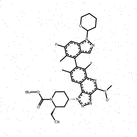 Cc1cc2c(nc([S+](C)[O-])c3nnn([C@H]4CCN(C(=O)OC(C)(C)C)[C@H](CC#N)C4)c32)c(F)c1-c1c(C)c(F)cc2c1cnn2C1CCCCO1